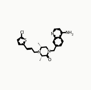 C[C@@H]1CN(Cc2ccc3c(N)ccnc3c2)C(=O)[C@H](C)N1CC=Cc1ccc(Cl)s1